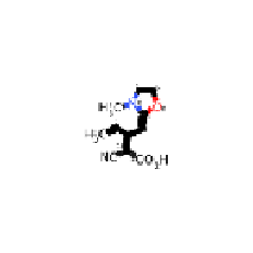 C=CC(C=C1OCCN1C)=C(C#N)C(=O)O